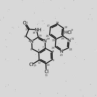 Cl.O=C1CN2Cc3c(ccc(Cl)c3Cl)N=C2N1.c1ccc2ncncc2c1